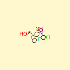 COC(=O)C1(Nc2cccc(Cl)c2)CCC2(CC1)c1c(F)cccc1CC2C[C@@H](C)CO